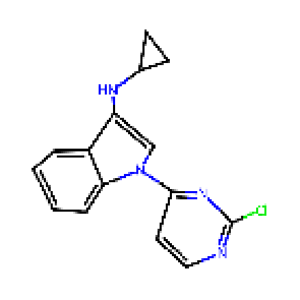 Clc1nccc(-n2cc(NC3CC3)c3ccccc32)n1